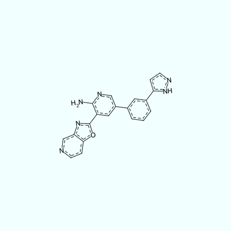 Nc1ncc(-c2cccc(-c3ccn[nH]3)c2)cc1-c1nc2cnccc2o1